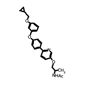 CC(=O)NC(C)COc1ccc(-c2ccc(Oc3cccc(OCC4CC4)c3)cc2)nc1